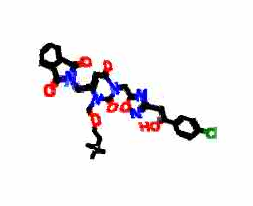 C[Si](C)(C)CCOCn1c(CN2C(=O)c3ccccc3C2=O)cc(=O)n(Cc2nc(C[C@H](O)c3ccc(Cl)cc3)no2)c1=O